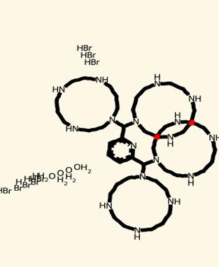 Br.Br.Br.Br.Br.Br.Br.Br.O.O.O.O.c1cc(C(N2CCCNCCNCCCNCC2)N2CCCNCCNCCCNCC2)nc(C(N2CCCNCCNCCCNCC2)N2CCCNCCNCCCNCC2)c1